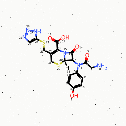 NCC(=O)N(c1ccc(O)cc1)C1C(=O)N2C(C(=O)O)=C(CSc3cnn[nH]3)CS[C@@H]12